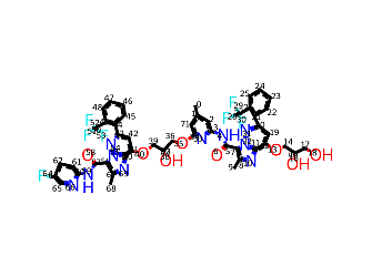 Cc1cc(NC(=O)c2c(C)nc3c(OC[C@H](O)CO)cc(-c4ccccc4C(F)(F)F)nn23)nc(OC[C@@H](O)COc2cc(-c3ccccc3C(F)(F)F)nn3c(C(=O)Nc4ccc(F)cn4)c(C)nc23)c1